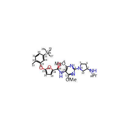 COc1nc(N2CCC(NC(C)C)C2)nc(OC)c1NC(=O)c1ccc(Oc2cc([Si](C)(C)C)ccc2C)o1